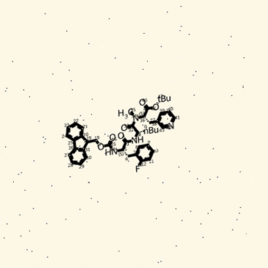 CCCC[C@H](NC(=O)[C@H](Cc1ccccc1F)NC(=O)OCC1c2ccccc2-c2ccccc21)C(=O)N(C)[C@@H](Cc1cccnc1)C(=O)OC(C)(C)C